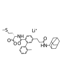 CSCC[C@H](NC(=O)c1ccc(CCC(=O)NC2C3CC4CC(C3)CC2C4)cc1-c1ccccc1C)C(=O)[O-].[Li+]